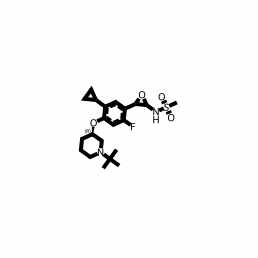 CC(C)(C)N1CCC[C@@H](Oc2cc(F)c(C3OC3NS(C)(=O)=O)cc2C2CC2)C1